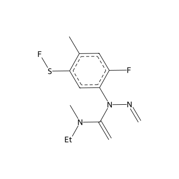 C=NN(C(=C)N(C)CC)c1cc(SF)c(C)cc1F